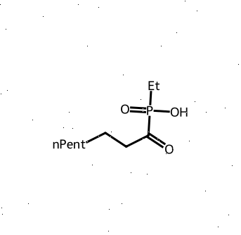 CCCCCCCC(=O)P(=O)(O)CC